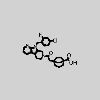 O=C(CC12CCCC(C(=O)O)(CC1)CC2)N1CCc2c(n(Cc3ccc(Cl)cc3F)c3ncccc23)C1